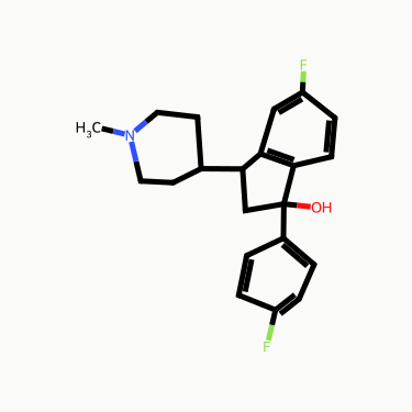 CN1CCC(C2CC(O)(c3ccc(F)cc3)c3ccc(F)cc32)CC1